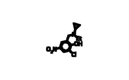 CCN(Cc1cc([N+](=O)[O-])cc(Cl)c1O)C1CC1